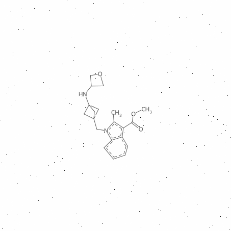 COC(=O)c1c(C)n(CC23CC(NC4COC4)(C2)C3)c2ccccc12